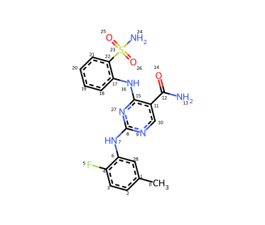 Cc1ccc(F)c(Nc2ncc(C(N)=O)c(Nc3ccccc3S(N)(=O)=O)n2)c1